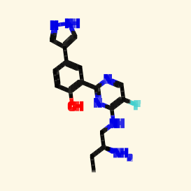 CC[C@H](N)CNc1nc(-c2cc(-c3cn[nH]c3)ccc2O)ncc1F